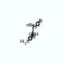 CCCCC(CCCNS(=O)(=O)c1ccc(C)cc1)Sc1ccc(Br)cc1